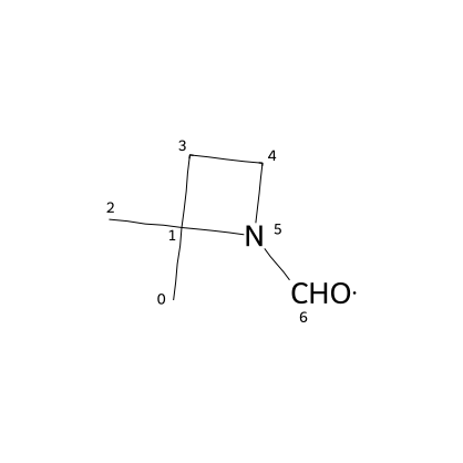 CC1(C)CCN1[C]=O